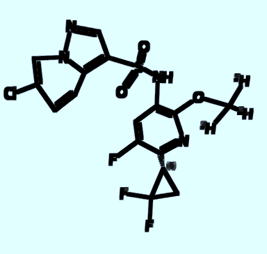 [2H]C([2H])([2H])Oc1nc([C@@H]2CC2(F)F)c(F)cc1NS(=O)(=O)c1cnn2cc(Cl)ccc12